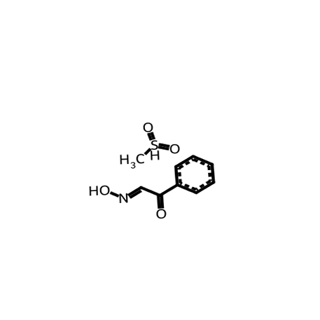 C[SH](=O)=O.O=C(C=NO)c1ccccc1